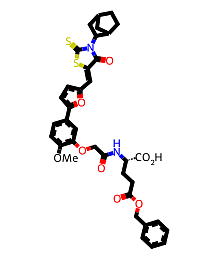 COc1ccc(-c2ccc(C=C3SC(=S)N(C4CC5CCC4C5)C3=O)o2)cc1OCC(=O)N[C@@H](CCC(=O)OCc1ccccc1)C(=O)O